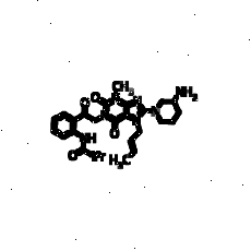 CC=CCn1c(N2CCCC(N)C2)nc2c1c(=O)n(CC(=O)c1ccccc1NC(=O)C(C)C)c(=O)n2C